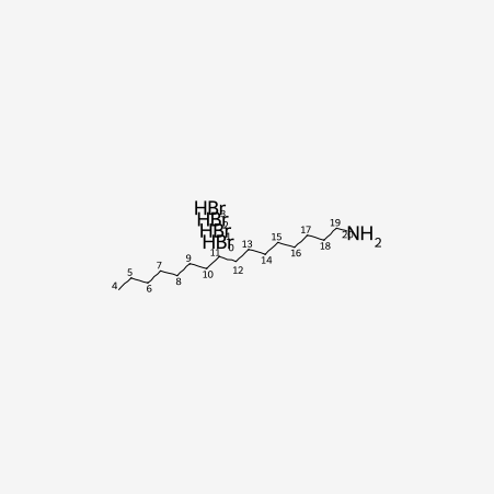 Br.Br.Br.Br.CCCCCCCCCCCCCCCCN